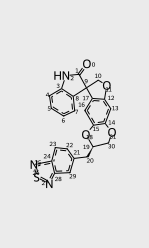 O=C1Nc2ccccc2C12COc1cc3c(cc12)O[C@H](Cc1ccc2nsnc2c1)CO3